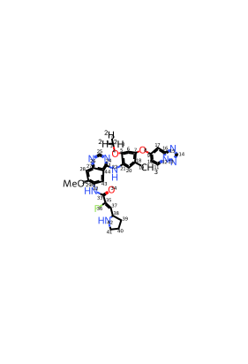 [2H]C([2H])([2H])Oc1cc(Oc2ccn3ncnc3c2)c(C)cc1Nc1ncnc2cc(OC)c(NC(=O)C(F)=CC3CCCN3)cc12